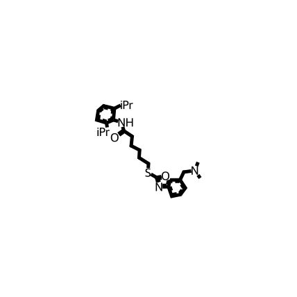 CC(C)c1cccc(C(C)C)c1NC(=O)CCCCCSc1nc2cccc(CN(C)C)c2o1